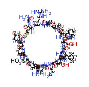 CCCC[C@H]1C(=O)N(C)[C@@H](CCCC)C(=O)N[C@@H](CCCNC(=N)N)C(=O)N[C@H](C(=O)NCC(N)=O)CSCC(=O)N[C@@H](Cc2ccc(O)cc2)C(=O)N2CCCC[C@H]2C(=O)N[C@@H](CC(=O)O)C(=O)N2CCC[C@H]2C(=O)N[C@@H](Cc2c[nH]cn2)C(=O)N[C@@H](CCCN)C(=O)N2C[C@H](O)C[C@H]2C(=O)N[C@@H](Cc2c[nH]c3ccccc23)C(=O)N[C@@H](CCO)C(=O)N[C@@H](Cc2c[nH]c3ccccc23)C(=O)N1C